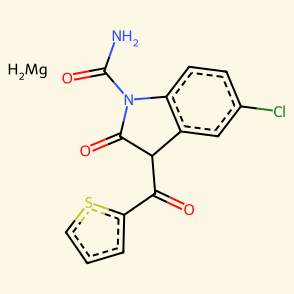 NC(=O)N1C(=O)C(C(=O)c2cccs2)c2cc(Cl)ccc21.[MgH2]